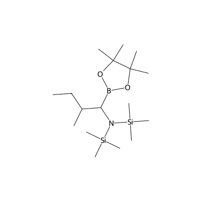 CCC(C)C(B1OC(C)(C)C(C)(C)O1)N([Si](C)(C)C)[Si](C)(C)C